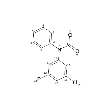 O=C(Cl)N(c1ccccc1)c1cc(F)cc(Cl)c1